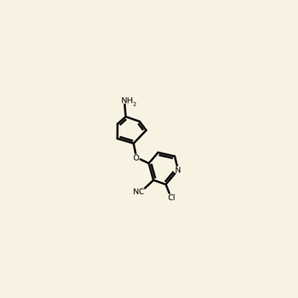 N#Cc1c(Oc2ccc(N)cc2)ccnc1Cl